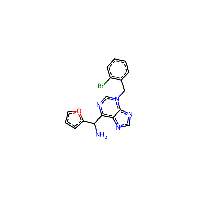 NC(c1ccco1)c1ncn(Cc2ccccc2Br)c2ncnc1-2